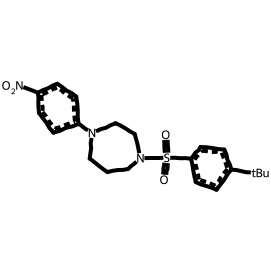 CC(C)(C)c1ccc(S(=O)(=O)N2CCCN(c3ccc([N+](=O)[O-])cc3)CC2)cc1